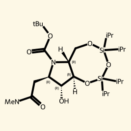 CNC(=O)C[C@@H]1[C@@H](O)[C@@H]2O[Si](C(C)C)(C(C)C)O[Si](C(C)C)(C(C)C)OC[C@H]2N1C(=O)OC(C)(C)C